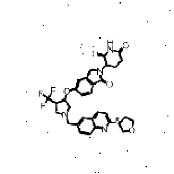 O=C1CCC(N2Cc3cc(OC4CN(Cc5ccc6nc([C@H]7CCOC7)ccc6c5)CC4C(F)(F)F)ccc3C2=O)C(=O)N1